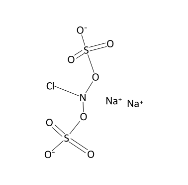 O=S(=O)([O-])ON(Cl)OS(=O)(=O)[O-].[Na+].[Na+]